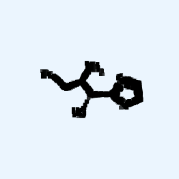 CC(C)CC(N)[C@@H](O)c1nccs1